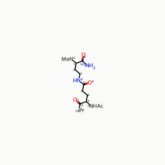 CNC(CCNC(=O)CCC(NC(C)=O)C(=O)C(C)C)C(N)=O